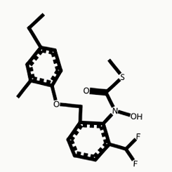 CCc1ccc(OCc2cccc(C(F)F)c2N(O)C(=O)SC)c(C)c1